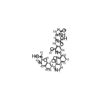 COc1cc(-c2nccc(-c3cccc(-c4ccc(CN(C[C@@H]5CCC(=O)N5)C(=O)O)c(OC)n4)c3Cl)c2Cl)ccc1CN(C)C[C@H](C)O